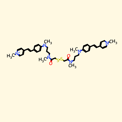 CN1C=CC(/C=C/c2ccc(N(C)CCCN(C)C(=O)CSSCC(=O)N(C)CCCN(C)c3ccc(/C=C/c4cc[n+](C)cc4)cc3)cc2)=CC1